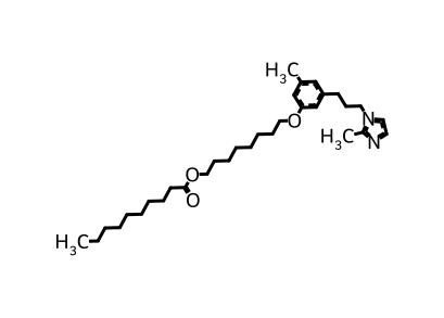 CCCCCCCCCC(=O)OCCCCCCCCOc1cc(C)cc(CCCn2ccnc2C)c1